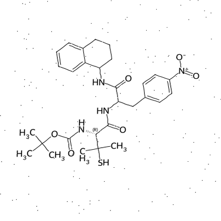 CC(C)(C)OC(=O)N[C@H](C(=O)NC(Cc1ccc([N+](=O)[O-])cc1)C(=O)NC1CCCc2ccccc21)C(C)(C)S